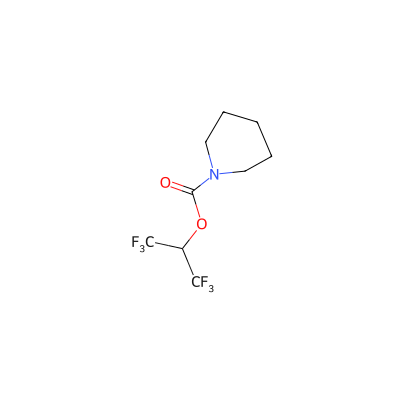 O=C(OC(C(F)(F)F)C(F)(F)F)N1CCCCC1